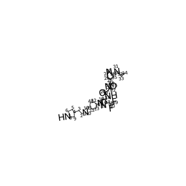 CN(CCC1CCNCC1)CC1CCC(n2cc(NC(=O)c3coc(-c4ccnc(N(C)C5CC5)c4)n3)c(C(F)F)n2)CC1